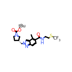 Cc1c(C(=O)NCCSC(F)(F)F)ccc2nn(C[C@@H]3CCN(C(=O)OC(C)(C)C)C3)cc12